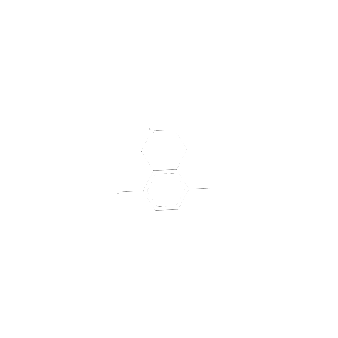 Cc1ccc(Br)c2c1CCNC2